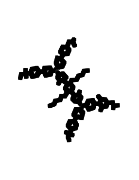 CCCCCCc1cc(-c2ccc(N(c3ccc(-c4ccc(C(C)(C)CC)cc4)cc3)c3ccc(-c4c(C)cc(CC(C)C)cc4C)cc3)cc2C)c(CCCCCC)cc1-c1ccc(N(c2ccc(-c3ccc(CC(C)C)cc3)cc2)c2ccc(-c3ccc(C(C)(C)CC)cc3)cc2)cc1C